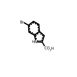 O=C(O)c1cc2ccc(Br)cc2[nH]1